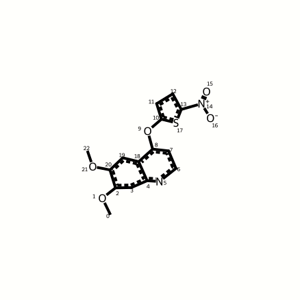 COc1cc2nccc(Oc3ccc([N+](=O)[O-])s3)c2cc1OC